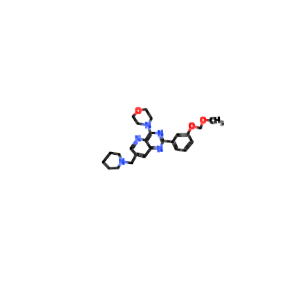 COCOc1cccc(-c2nc(N3CCOCC3)c3ncc(CN4CCCCC4)cc3n2)c1